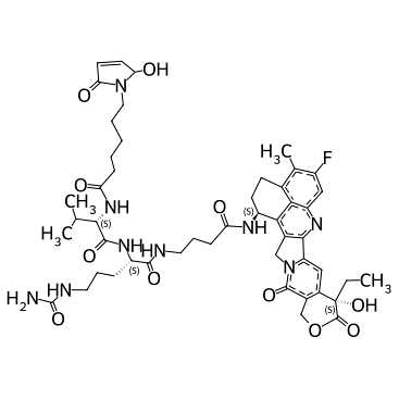 CC[C@@]1(O)C(=O)OCc2c1cc1n(c2=O)Cc2c-1nc1cc(F)c(C)c3c1c2[C@@H](NC(=O)CCCNC(=O)[C@H](CCCNC(N)=O)NC(=O)[C@@H](NC(=O)CCCCCN1C(=O)C=CC1O)C(C)C)CC3